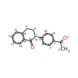 CC(=O)c1ccc([C@@H]2CCc3ccccc3C2=O)cc1